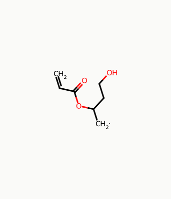 [CH2]C(CCO)OC(=O)C=C